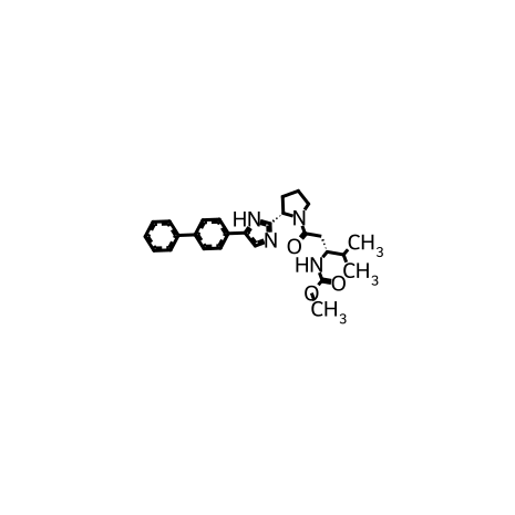 COC(=O)N[C@H](CC(=O)N1CCC[C@H]1c1ncc(-c2ccc(-c3ccccc3)cc2)[nH]1)C(C)C